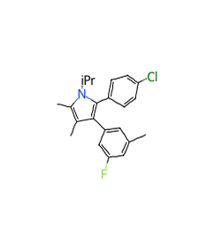 Cc1cc(F)cc(-c2c(C)c(C)n(C(C)C)c2-c2ccc(Cl)cc2)c1